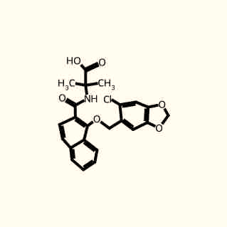 CC(C)(NC(=O)c1ccc2ccccc2c1OCc1cc2c(cc1Cl)OCO2)C(=O)O